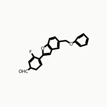 O=CC1C=C(F)C(c2cc3cc(COc4ccccc4)ccc3o2)=CC1